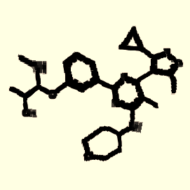 CNC(Oc1cccc(-c2nc(NC3CCOCC3)c(C)c(-c3c(C4CC4)noc3C)n2)c1)C(C)O